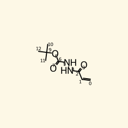 C=CC(=O)NNC(=O)OC(C)(C)C